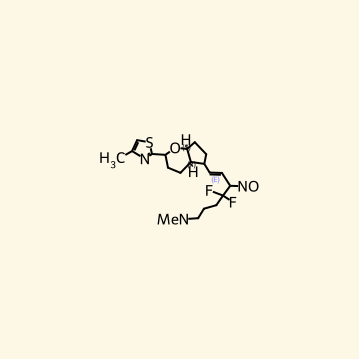 CNCCCC(F)(F)C(/C=C/C1CC[C@@H]2OC(c3nc(C)cs3)CC[C@H]12)N=O